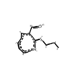 CCCSc1ncccc1[C]=O